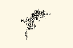 CCCC(=O)N(C)[C@H](CSCCCN1CCNCC1)C(=O)N(C)[C@@H](CC(C)(C)O)C(=O)N[C@H](C(=O)N(C)[C@@H](CC(C)C)C(=O)N[C@H](C)C(=O)N[C@@H](C)C(=O)N(C)[C@@H](CC(C)C)C(=O)NC)C(C)C